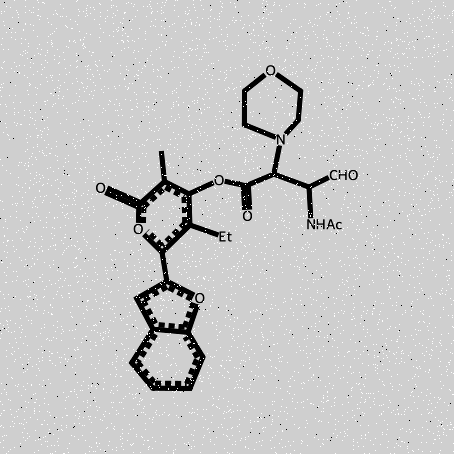 CCc1c(-c2cc3ccccc3o2)oc(=O)c(C)c1OC(=O)C(C(C=O)NC(C)=O)N1CCOCC1